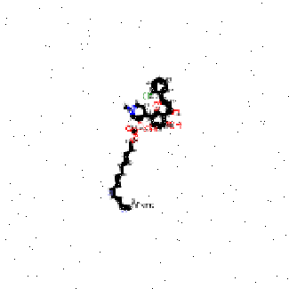 CCCCC/C=C\C/C=C\CCCCCCCCOC(=O)O[C@H]1CN(C)CCC1c1c(O)cc(O)c2c(=O)cc(-c3ccccc3Cl)oc12